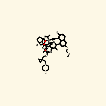 COCOc1cc(-c2ncc3c(N4C[C@H]5CC[C@@H](C4)N5C(=O)OC(C)(C)C)nc(OCC4(CN5CCNCC5)CC4)nc3c2F)c2c(C#C[Si](C(C)C)(C(C)C)C(C)C)c(F)ccc2c1